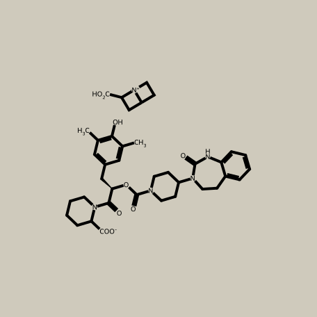 Cc1cc(C[C@@H](OC(=O)N2CCC(N3CCc4ccccc4NC3=O)CC2)C(=O)N2CCCCC2C(=O)[O-])cc(C)c1O.O=C(O)C1CC2CC[N+]21